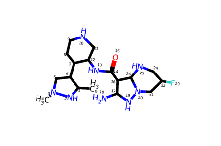 CC1NN(C)CC1C1CCNCC1NC(=O)C1C(N)NN2CC(F)CNC12